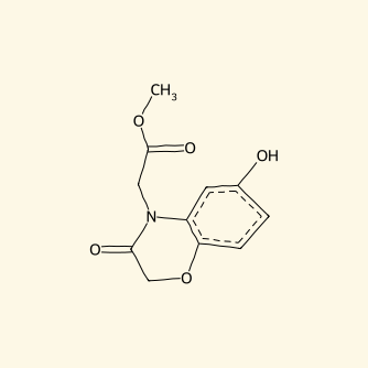 COC(=O)CN1C(=O)COc2ccc(O)cc21